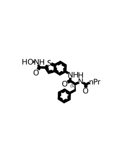 CCCC(=O)N[C@@H](Cc1ccccc1)C(=O)Nc1ccc2sc(C(=O)NO)cc2c1